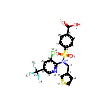 O=C(O)c1ccc(S(=O)(=O)N(Cc2ccsc2)c2ncc(C(F)(F)F)cc2Cl)cc1